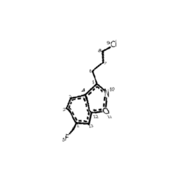 Fc1ccc2c(CCCCl)noc2c1